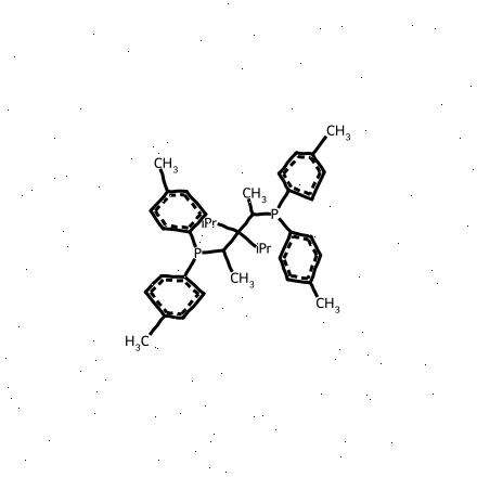 Cc1ccc(P(c2ccc(C)cc2)C(C)C(C(C)C)(C(C)C)C(C)P(c2ccc(C)cc2)c2ccc(C)cc2)cc1